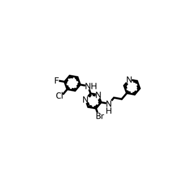 Fc1ccc(Nc2ncc(Br)c(NCCc3cccnc3)n2)cc1Cl